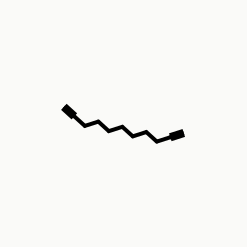 C#CCCCCCCCC#C